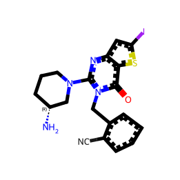 N#Cc1ccccc1Cn1c(N2CCC[C@@H](N)C2)nc2cc(I)sc2c1=O